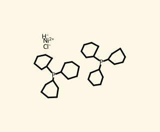 C1CCC(P(C2CCCCC2)C2CCCCC2)CC1.C1CCC(P(C2CCCCC2)C2CCCCC2)CC1.[Cl-].[H-].[Ni+2]